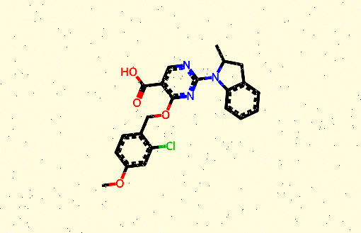 COc1ccc(COc2nc(N3c4ccccc4CC3C)ncc2C(=O)O)c(Cl)c1